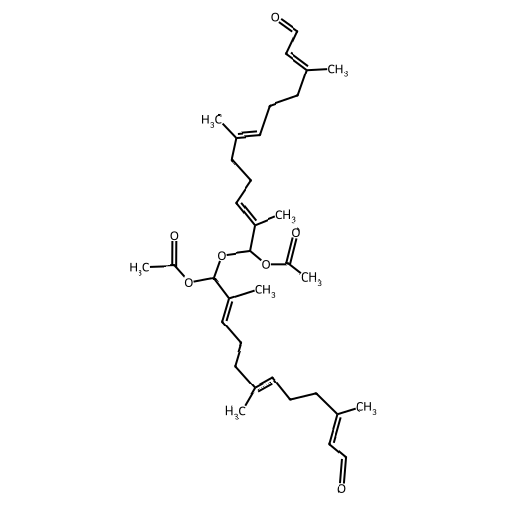 CC(=O)OC(OC(OC(C)=O)C(C)=CCCC(C)=CCCC(C)=CC=O)C(C)=CCCC(C)=CCCC(C)=CC=O